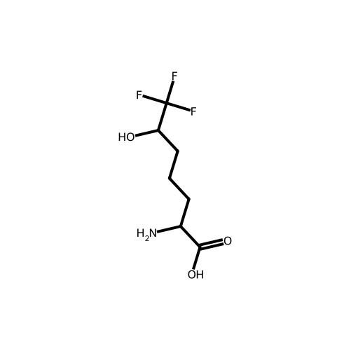 NC(CCCC(O)C(F)(F)F)C(=O)O